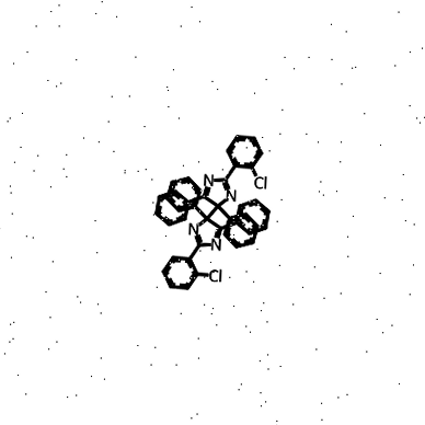 Clc1ccccc1C1=NC(c2ccccc2)(C2(c3ccccc3)N=C(c3ccccc3Cl)N=C2c2ccccc2)C(c2ccccc2)=N1